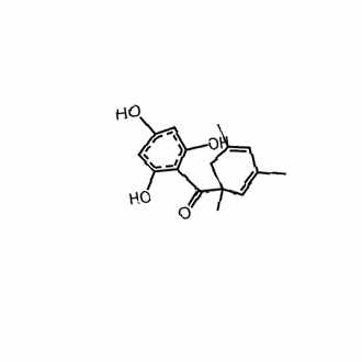 CC1=CC(C)(C(=O)c2c(O)cc(O)cc2O)CC(C)=C1